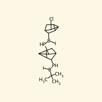 CC(C)(C)B(I)PC1C2CC3C(C2PB(I)C2C4CC5C(C4Cl)C52)C31